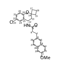 COc1ccc2cc(CCC(=O)N[C@H]3CC4(CCC4)Oc4ccc(Cl)cc43)ccc2c1